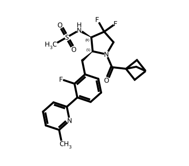 Cc1cccc(-c2cccc(C[C@H]3[C@@H](NS(C)(=O)=O)C(F)(F)CN3C(=O)C34CC(C3)C4)c2F)n1